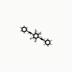 Fc1c(F)c(C#Cc2ccccc2)c(F)c(F)c1C#Cc1ccccc1